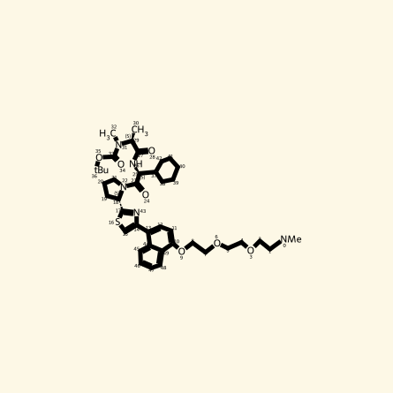 CNCCOCCOCCOc1ccc(-c2csc([C@@H]3CCCN3C(=O)[C@@H](NC(=O)[C@H](C)N(C)C(=O)OC(C)(C)C)C3CCCCC3)n2)c2ccccc12